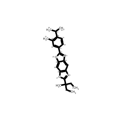 CCC(C)(CC)c1nc2cc3nc(-c4ccc(C(C)C)c(C)c4)oc3cc2o1